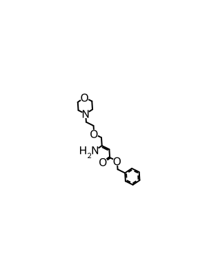 N/C(=C\C(=O)OCc1ccccc1)COCCN1CCOCC1